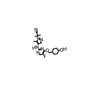 Cc1c(Nc2ncc(F)c(OCC3CCC(O)CC3)n2)cnn1C(C)(C)C#N